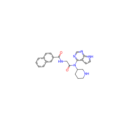 O=C(NCC(=O)N(c1ncnc2[nH]ccc12)C1CCCNC1)c1ccc2ccccc2c1